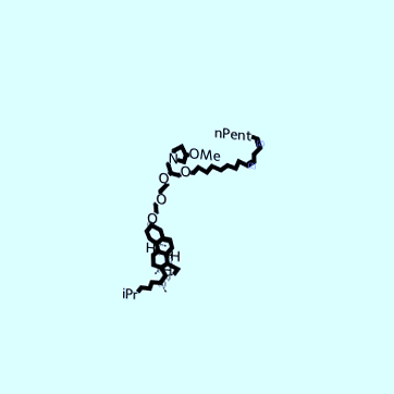 CCCCC/C=C\C/C=C\CCCCCCCCOCC(CN1CCC(OC)C1)OCCOCCO[C@H]1CC[C@@]2(C)C(=CC[C@H]3[C@@H]4CC[C@H]([C@H](C)CCCC(C)C)[C@@]4(C)CC[C@@H]32)C1